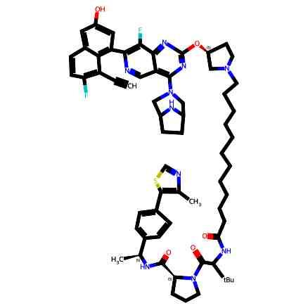 C#Cc1c(F)ccc2cc(O)cc(-c3ncc4c(N5CC6CCC(C5)N6)nc(O[C@H]5CCN(CCCCCCCCCCCC(=O)NC(C(=O)N6CCC[C@H]6C(=O)N[C@@H](C)c6ccc(-c7scnc7C)cc6)C(C)(C)C)C5)nc4c3F)c12